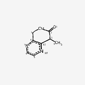 CC1C(=O)OCc2nccnc21